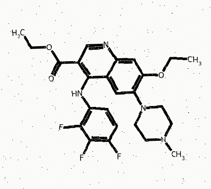 CCOC(=O)c1cnc2cc(OCC)c(N3CCN(C)CC3)cc2c1Nc1ccc(F)c(F)c1F